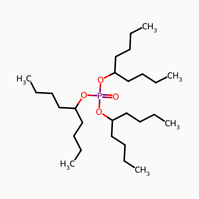 CCCCC(CCCC)OP(=O)(OC(CCCC)CCCC)OC(CCCC)CCCC